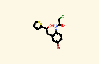 O=C(CCl)Nc1ccc(Br)cc1CC(O)c1cccs1